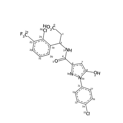 O=C(O)CC(NC(=O)c1cc(O)n(-c2ccc(Cl)cc2)n1)c1cccc(C(F)(F)F)c1Cl